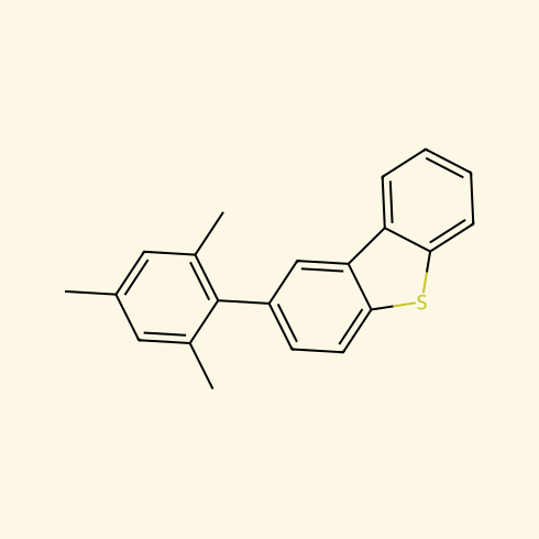 Cc1cc(C)c(-c2ccc3sc4ccccc4c3c2)c(C)c1